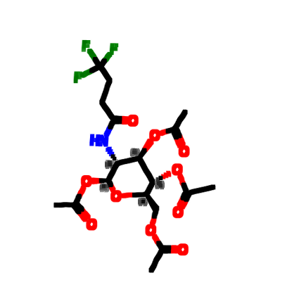 CC(=O)OC[C@H]1O[C@@H](OC(C)=O)[C@H](NC(=O)CCC(F)(F)F)[C@@H](OC(C)=O)[C@@H]1OC(C)=O